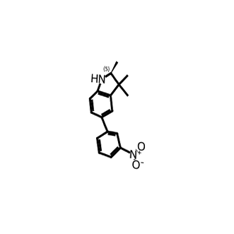 C[C@@H]1Nc2ccc(-c3cccc([N+](=O)[O-])c3)cc2C1(C)C